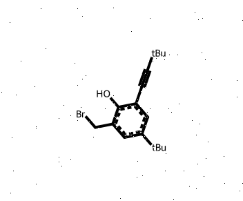 CC(C)(C)C#Cc1cc(C(C)(C)C)cc(CBr)c1O